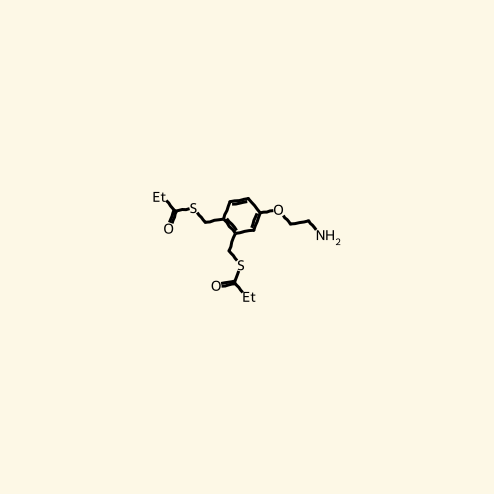 CCC(=O)SCc1ccc(OCCN)cc1CSC(=O)CC